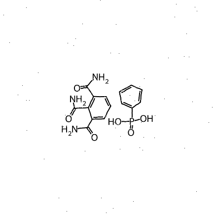 NC(=O)c1cccc(C(N)=O)c1C(N)=O.O=P(O)(O)c1ccccc1